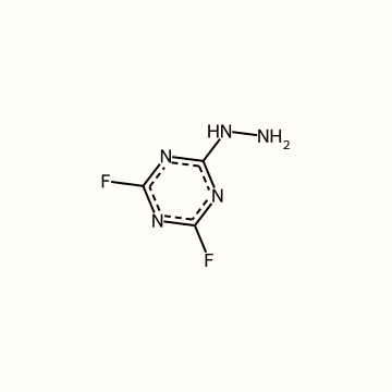 NNc1nc(F)nc(F)n1